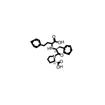 O=C(O)C(CCc1ccccc1)N[C@@H](Cc1ccccc1)C(=O)N1CCC[C@H]1C(=O)O